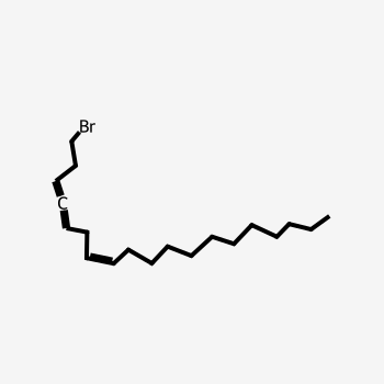 CCCCCCCCCCC/C=C\CC=C=CCCBr